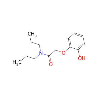 CCCN(CCC)C(=O)COc1ccccc1O